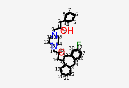 OC(Cc1ccccc1)CN1CCN(CC2CC3c4ccccc4Cc4ccc(F)cc4C3O2)CC1